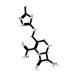 Cc1nnc(SCC2=C(C(=O)O)N3C(=O)C(N)C3SC2)o1